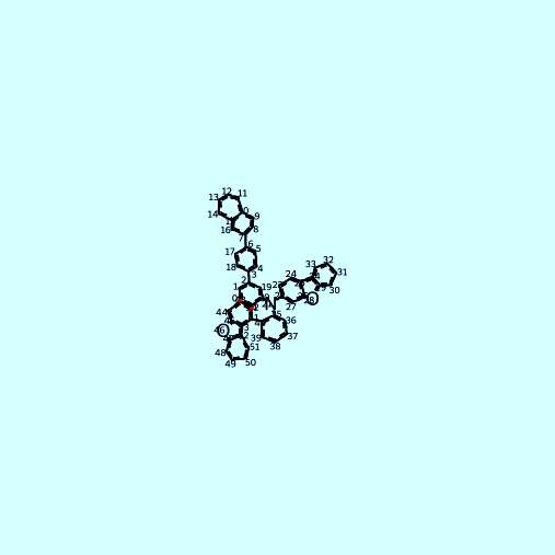 c1cc(-c2ccc(-c3ccc4ccccc4c3)cc2)cc(N(c2ccc3c(c2)oc2ccccc23)c2ccccc2-c2cccc3oc4ccccc4c23)c1